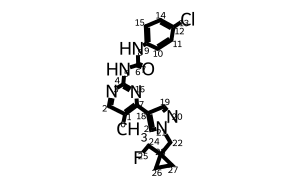 Cc1cnc(NC(=O)Nc2ccc(Cl)cc2)nc1-c1cnn(CC2(CF)CC2)c1